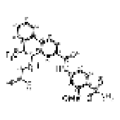 COc1cc(NC(=O)c2ccc(-c3ccccc3CC(F)(F)F)c(CNCC(F)F)c2)ccc1S(N)(=O)=O